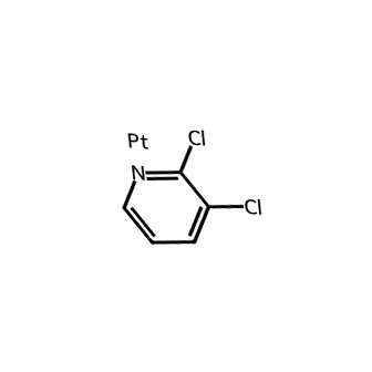 Clc1cccnc1Cl.[Pt]